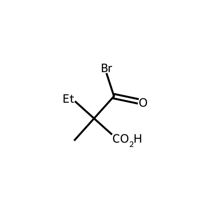 CCC(C)(C(=O)O)C(=O)Br